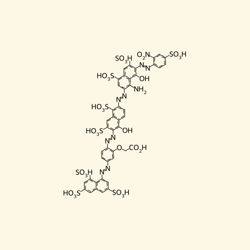 Nc1c(N=Nc2ccc3c(O)c(N=Nc4ccc(N=Nc5cc(S(=O)(=O)O)cc6cc(S(=O)(=O)O)cc(S(=O)(=O)O)c56)cc4OCC(=O)O)c(S(=O)(=O)O)cc3c2S(=O)(=O)O)cc(S(=O)(=O)O)c2cc(S(=O)(=O)O)c(N=Nc3ccc(S(=O)(=O)O)cc3[N+](=O)[O-])c(O)c12